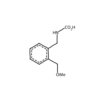 COCc1ccccc1CNC(=O)O